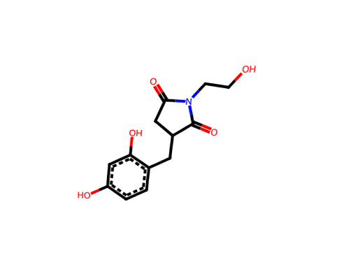 O=C1CC(Cc2ccc(O)cc2O)C(=O)N1CCO